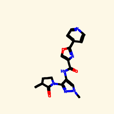 CC1CCN(c2nn(C)cc2NC(=O)c2coc(-c3c[c]ncc3)n2)C1=O